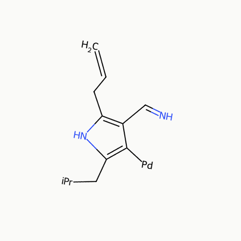 C=CCc1[nH]c(CC(C)C)[c]([Pd])c1C=N